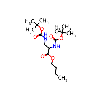 CCCCOC(=O)C(CNC(=O)OC(C)(C)C)NC(=O)OC(C)(C)C